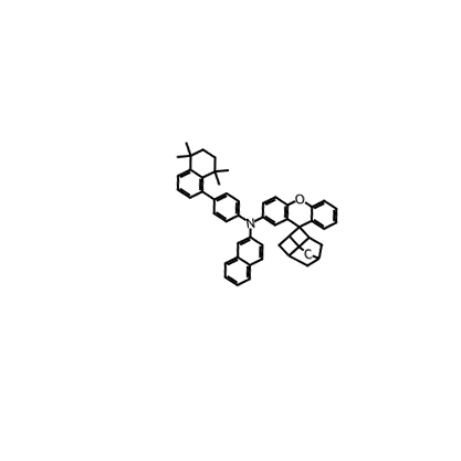 CC1(C)CCC(C)(C)c2c(-c3ccc(N(c4ccc5c(c4)C4(c6ccccc6O5)C5CC6CC7CC4C75C6)c4ccc5ccccc5c4)cc3)cccc21